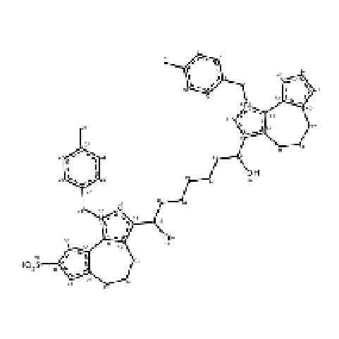 Cc1ccc(Cn2nc(C(O)CCCCCC(O)c3nn(Cc4ccc(C)cc4)c4c3CCCc3cc(S(=O)(=O)O)sc3-4)c3c2-c2sccc2CCC3)cc1